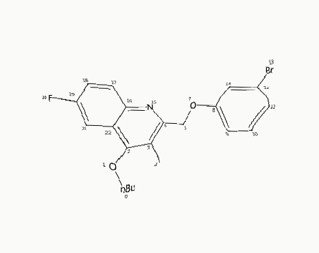 CCCCOc1c(C)c(COc2cccc(Br)c2)nc2ccc(F)cc12